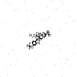 CC(C)(C)[C@@H]1Oc2nc([N+](=O)[O-])cn2C[C@@H]1NCc1ccc(OC(F)(F)F)cc1